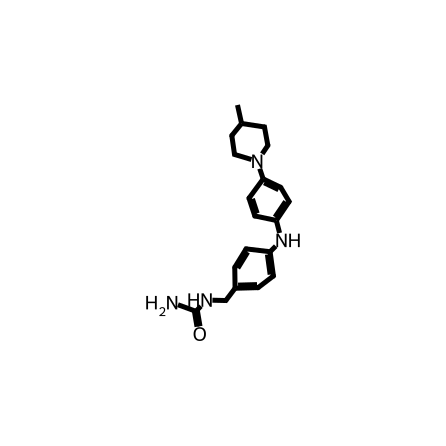 CC1CCN(c2ccc(Nc3ccc(CNC(N)=O)cc3)cc2)CC1